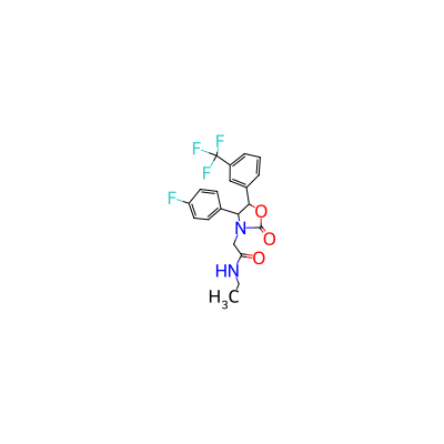 CCNC(=O)CN1C(=O)OC(c2cccc(C(F)(F)F)c2)C1c1ccc(F)cc1